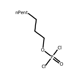 CCCCCCCCOP(=O)(Cl)Cl